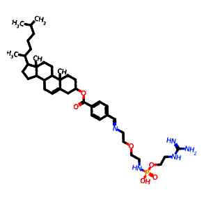 CC(C)CCCC(C)C1CCC2C3CC=C4CC(OC(=O)c5ccc(/C=N/CCOCCNP(=O)(O)OCCNC(=N)N)cc5)CCC4(C)C3CCC12C